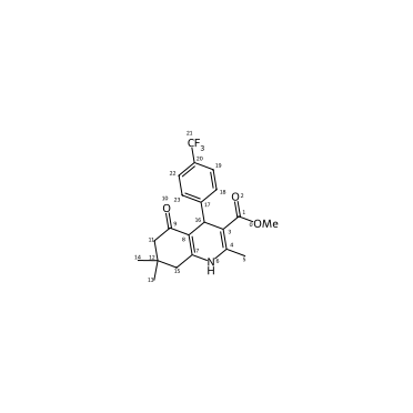 COC(=O)C1=C(C)NC2=C(C(=O)CC(C)(C)C2)C1c1ccc(C(F)(F)F)cc1